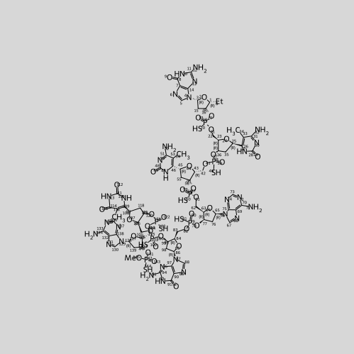 CC[C@H]1O[C@@H](n2cnc3c(=O)[nH]c(N)nc32)C[C@H]1OP(=O)(S)OC[C@H]1O[C@@H](c2[nH]c(=O)nc(N)c2C)C[C@H]1OP(=O)(S)OC[C@H]1O[C@@H](c2[nH]c(=O)nc(N)c2C)C[C@H]1OP(=O)(S)OC[C@H]1O[C@@H](n2cnc3c(N)ncnc32)C[C@H]1OP(=O)(S)OC[C@H]1O[C@@H](n2cnc3c(=O)[nH]c(N)nc32)C[C@H]1OP(=O)(S)OC[C@H]1O[C@@H](c2[nH]c(=O)[nH]c(=O)c2C)C[C@H]1OP(=O)(S)OC[C@H]1O[C@@H](n2cnc3c(N)ncnc32)C[C@H]1OP(=O)(S)OC